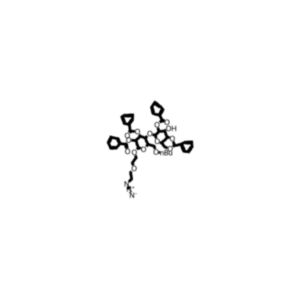 CCCCOCC1OC(OCCOCCN=[N+]=[N-])C(OC(=O)c2ccccc2)C(OC(=O)c2ccccc2)C1OC1OC2COC(c3ccccc3)OC2C(O)C1OC(=O)c1ccccc1